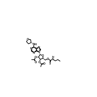 CCCNC(=S)OC[C@@H]1O[C@@H](n2cnc3c(N[C@@H]4CCOC4)ncnc32)[C@H](OC(C)=O)[C@@H]1OC(C)=O